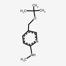 CNc1ccc(COC(C)(C)C)cn1